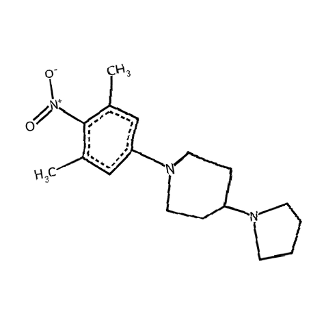 Cc1cc(N2CCC(N3CCCC3)CC2)cc(C)c1[N+](=O)[O-]